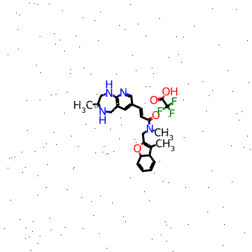 CC1=C(CN(C)C(=O)C=Cc2cnc3c(c2)CN[C@@H](C)CN3)OC2C=CC=CC12.O=C(O)C(F)(F)F